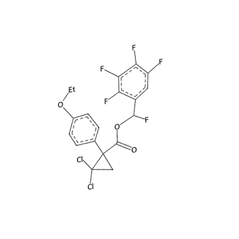 CCOc1ccc(C2(C(=O)OC(F)c3cc(F)c(F)c(F)c3F)CC2(Cl)Cl)cc1